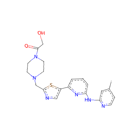 Cc1ccnc(Nc2cccc(-c3cnc(CN4CCN(C(=O)CO)CC4)s3)n2)c1